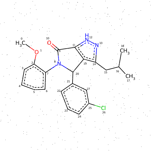 COc1ccccc1N1C(=O)c2[nH]nc(CC(C)C)c2C1c1cccc(Cl)c1